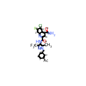 CC(=O)c1cccc(Cn2nc(C(F)(F)F)c(NC(=O)c3cc(C(N)=O)c4cc(Cl)c(F)cc4n3)c2C)c1